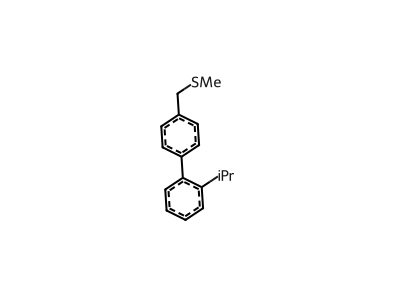 CSCc1ccc(-c2ccccc2C(C)C)cc1